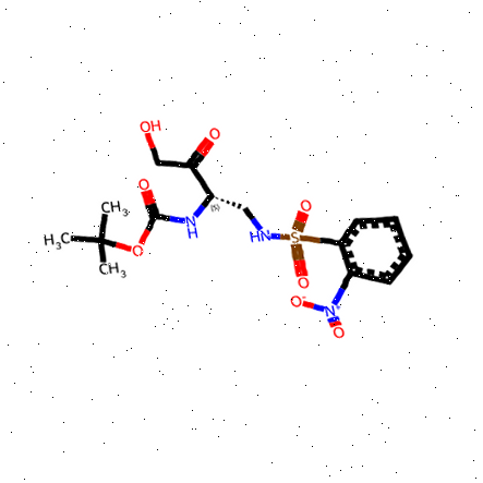 CC(C)(C)OC(=O)N[C@@H](CNS(=O)(=O)c1ccccc1[N+](=O)[O-])C(=O)CO